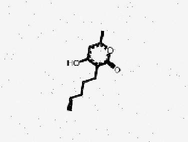 C=CCCCc1c(O)cc(C)oc1=O